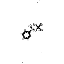 O=S(OC(Br)(Br)Br)c1ccccc1